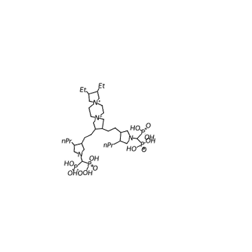 CCCC1CN(C(P(=O)(O)O)P(=O)(O)O)CC1CCC1C[N+]2(CC[N+]3(CC2)CC(CC)C(CC)C3)CC1CCC1CN(C(P(=O)(O)O)P(=O)(O)O)CC1CCC